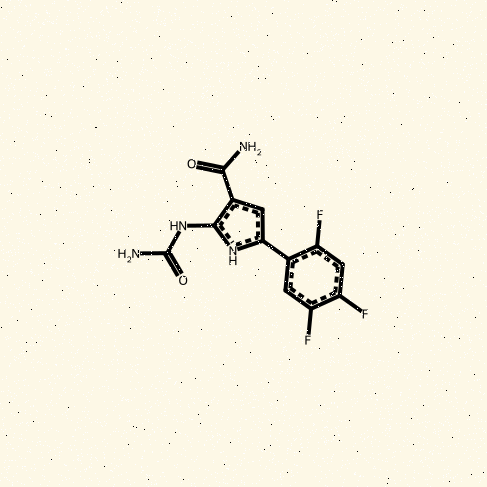 NC(=O)Nc1[nH]c(-c2cc(F)c(F)cc2F)cc1C(N)=O